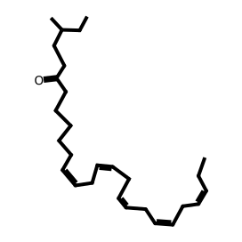 CC/C=C\C/C=C\C/C=C\C/C=C\C/C=C\CCCCCC(=O)CCC(C)CC